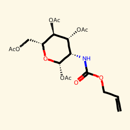 C=CCOC(=O)N[C@@H]1[C@H](OC(C)=O)O[C@H](COC(C)=O)[C@@H](OC(C)=O)[C@@H]1OC(C)=O